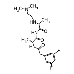 C[C@H](NCCN(C)C)C(=O)NC(=O)[C@H](C)NC(=O)Cc1cc(F)cc(F)c1